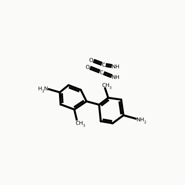 Cc1cc(N)ccc1-c1ccc(N)cc1C.N=C=O.N=C=O